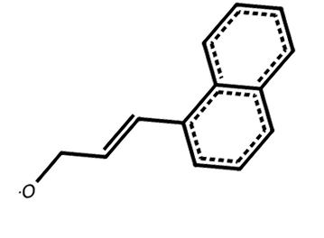 [O]CC=Cc1cccc2ccccc12